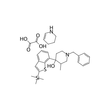 C1=CNCCC1.CC1CN(Cc2ccccc2)CCC1(O)c1cccc2cc([Si](C)(C)C)sc12.O=C(O)C(=O)O